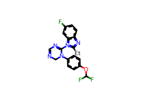 CCc1nc2ccc(F)cc2n1C1=NC=NCN1c1ccc(OC(F)F)cc1